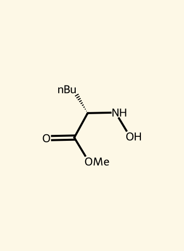 CCCC[C@H](NO)C(=O)OC